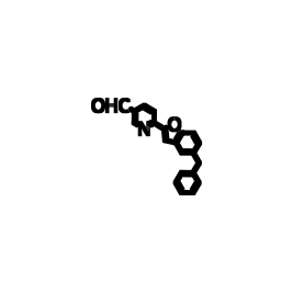 O=Cc1ccc(-c2cc3cc(Cc4ccccc4)ccc3o2)nc1